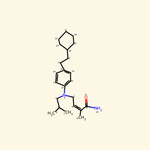 C[C](C)CN(CC=C(C)C(N)=O)c1ccc(CCC2CCCCC2)cc1